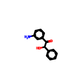 Nc1cccc(C(=O)C(O)c2ccccc2)c1